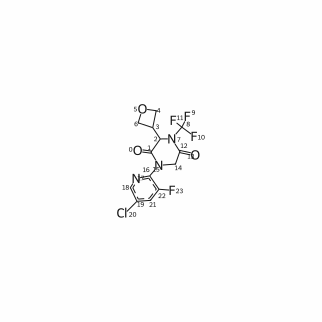 O=C1C(C2COC2)N(C(F)(F)F)C(=O)CN1c1ncc(Cl)cc1F